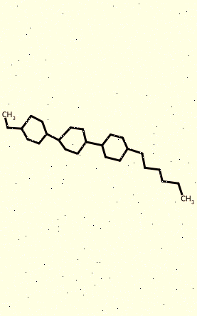 CCCCCCC1CCC(C2CCC(C3CCC(CC)CC3)CC2)CC1